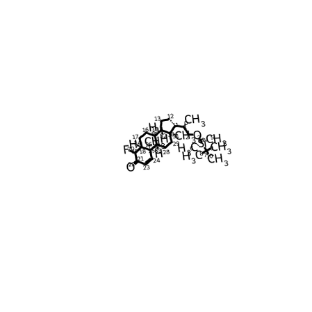 C[C@H](CO[Si](C)(C)C(C)(C)C)[C@H]1CC[C@H]2[C@@H]3CC[C@H]4C(F)C(=O)C=C[C@]4(C)[C@H]3CC[C@]12C